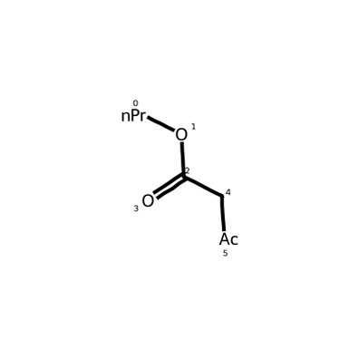 [CH2]CCOC(=O)CC(C)=O